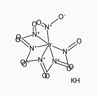 O=[N+]([O-])[Ir]([N+](=O)[O-])([N+](=O)[O-])([N+](=O)[O-])([N+](=O)[O-])[N+](=O)[O-].[KH]